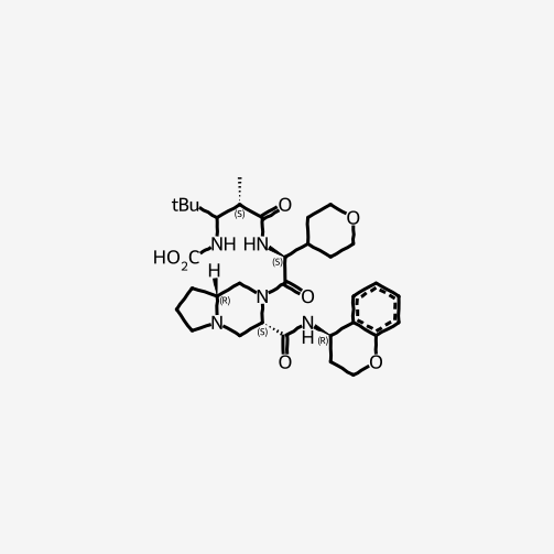 C[C@H](C(=O)N[C@H](C(=O)N1C[C@H]2CCCN2C[C@H]1C(=O)N[C@@H]1CCOc2ccccc21)C1CCOCC1)C(NC(=O)O)C(C)(C)C